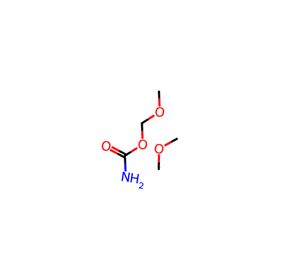 COC.COCOC(N)=O